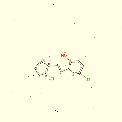 Oc1ccc(Cl)cc1C=Cc1ccccc1Cl